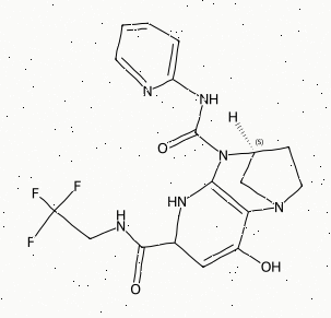 O=C(NCC(F)(F)F)C1C=C(O)C2=C(N1)N(C(=O)Nc1ccccn1)[C@H]1CCN2C1